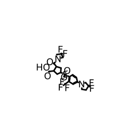 O=C(O)C1CC(S(=O)(=O)c2ccc(N3CCC(F)(F)C3)cc2C(F)(F)F)CC1C(=O)N1CC(F)(F)C1